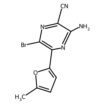 Cc1ccc(-c2nc(N)c(C#N)nc2Br)o1